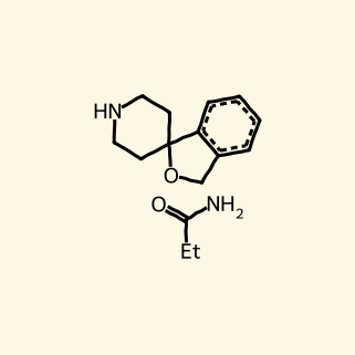 CCC(N)=O.c1ccc2c(c1)COC21CCNCC1